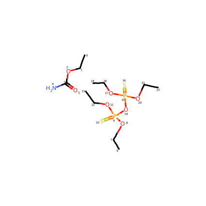 CCOC(N)=O.CCOP(=S)(OCC)OP(=S)(OCC)OCC